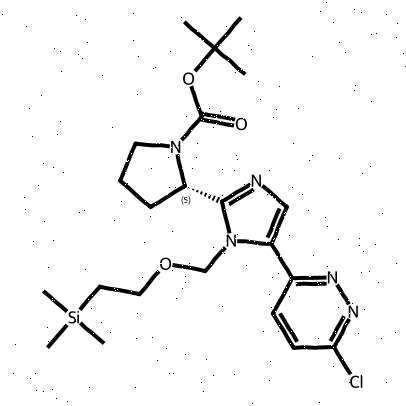 CC(C)(C)OC(=O)N1CCC[C@H]1c1ncc(-c2ccc(Cl)nn2)n1COCC[Si](C)(C)C